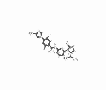 Cc1cn(-c2cc(F)c([C@H](C)Nc3nccc(N4C(=O)OC[C@@H]4C(C)C)n3)cc2F)cn1